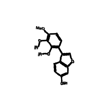 COc1ccc2c(-c3ccc(OC)c(OC(C)C)c3OC(C)C)coc2c1